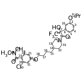 CC(C)Oc1cccc(C(O)(C(=O)N2CCC(CCCCOc3ccc(C(=O)N(C)C)c(Cl)c3)CC2)C(F)(F)F)c1